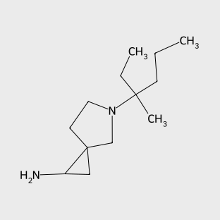 CCCC(C)(CC)N1CCC2(CC2N)C1